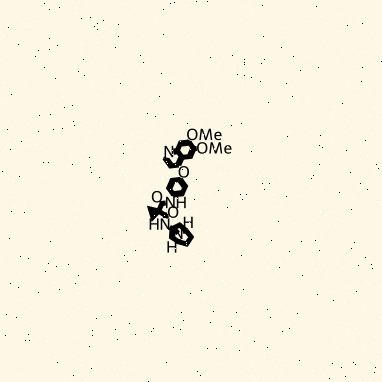 COc1cc2nccc(Oc3ccc(NC(=O)C4(C(=O)NC5C[C@H]6CC[C@@H](C5)N6C)CC4)cc3)c2cc1OC